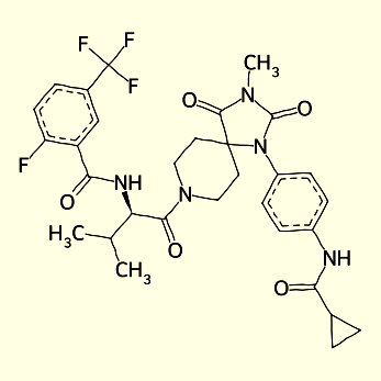 CC(C)[C@@H](NC(=O)c1cc(C(F)(F)F)ccc1F)C(=O)N1CCC2(CC1)C(=O)N(C)C(=O)N2c1ccc(NC(=O)C2CC2)cc1